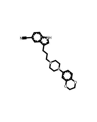 N#Cc1ccc2[nH]cc(CCCN3CCN(c4ccc5c(c4)OCCO5)CC3)c2c1